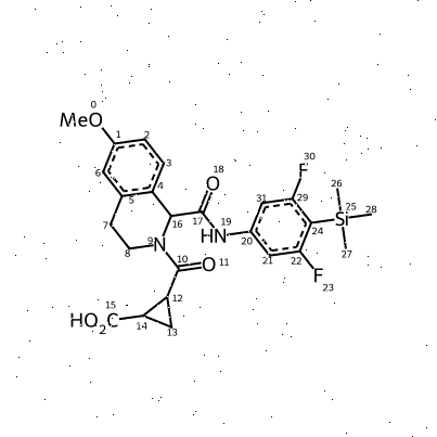 COc1ccc2c(c1)CCN(C(=O)C1CC1C(=O)O)C2C(=O)Nc1cc(F)c([Si](C)(C)C)c(F)c1